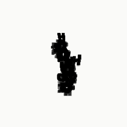 CC1(C)CNCc2cc(Nc3ncc4c(n3)OCN(C3CCCC3)C4=O)ccc21